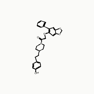 O=C(COc1cc2c(cc1-c1ccccc1)OCO2)N1CCC(CCc2ccc(O)cc2)CC1